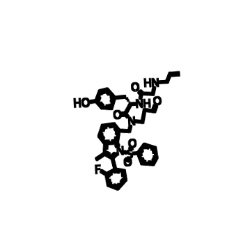 C=CCNCC(=O)N[C@@H](Cc1ccc(O)cc1)C(=O)N(CCC=O)Cc1cccc2c(C)c(-c3ccccc3F)n(S(=O)(=O)c3ccccc3)c12